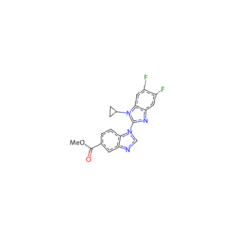 COC(=O)c1ccc2c(c1)ncn2-c1nc2cc(F)c(F)cc2n1C1CC1